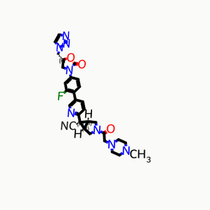 CN1CCN(CC(=O)N2C[C@@H]3[C@H](C2)[C@]3(C#N)c2ccc(-c3ccc(N4C[C@H](Cn5ccnn5)OC4=O)cc3F)cn2)CC1